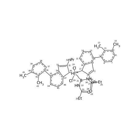 CCCC1=Cc2c(-c3cccc(C)c3C)cccc2[CH]1[Hf]([Cl])([Cl])([B](NC(=O)CC)NC(=O)CC)[CH]1C(CCC)=Cc2c(-c3cccc(C)c3C)cccc21